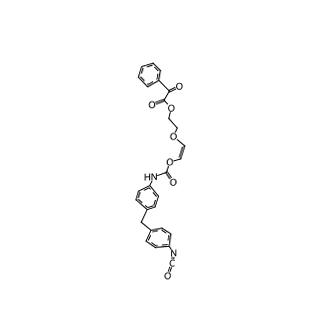 O=C=Nc1ccc(Cc2ccc(NC(=O)O/C=C\OCCOC(=O)C(=O)c3ccccc3)cc2)cc1